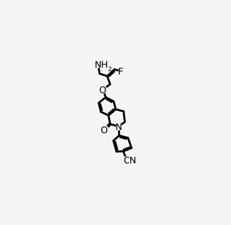 N#Cc1ccc(N2CCc3cc(OC/C(=C\F)CN)ccc3C2=O)cc1